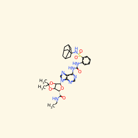 CCNC(=O)[C@H]1O[C@@H](n2cnc3c(NC(=O)Nc4ccccc4S(=O)(=O)NC45CC6CC(CC(C6)C4)C5)ncnc32)C2OC(C)(C)OC21